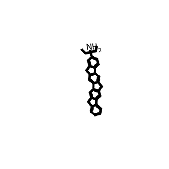 CCC(N)(CC)c1ccc2c(c1)Cc1cc3c(cc1-2)Cc1cc2c(cc1-3)Cc1ccccc1-2